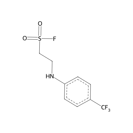 O=S(=O)(F)CCNc1ccc(C(F)(F)F)cc1